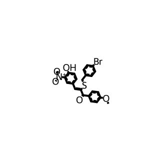 COc1ccc(C(=O)C(=Cc2ccc(O)c([N+](=O)[O-])c2)SCc2ccc(Br)cc2)cc1